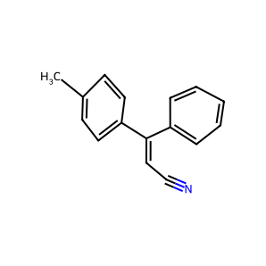 Cc1ccc(C(=CC#N)c2ccccc2)cc1